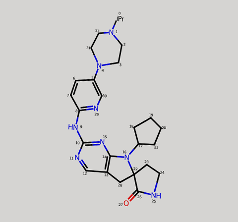 CC(C)N1CCN(c2ccc(Nc3ncc4c(n3)N(C3CCCC3)C3(CCNC3=O)C4)nc2)CC1